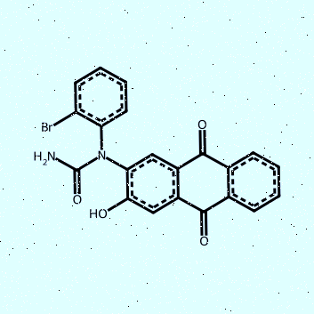 NC(=O)N(c1cc2c(cc1O)C(=O)c1ccccc1C2=O)c1ccccc1Br